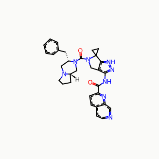 O=C(Nc1n[nH]c2c1CN(C(=O)N1C[C@@H]3CCCN3C[C@@H]1Cc1ccccc1)C21CC1)c1ccc2ccncc2n1